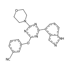 N#Cc1cccc(Oc2nc(-c3cccc4[nH]ncc34)nc(N3CCOCC3)n2)c1